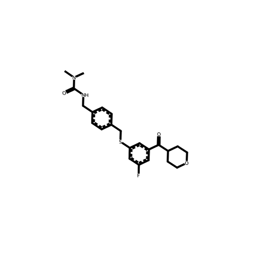 CN(C)C(=O)NCc1ccc(CSc2cc(F)cc(C(=O)C3CCOCC3)c2)cc1